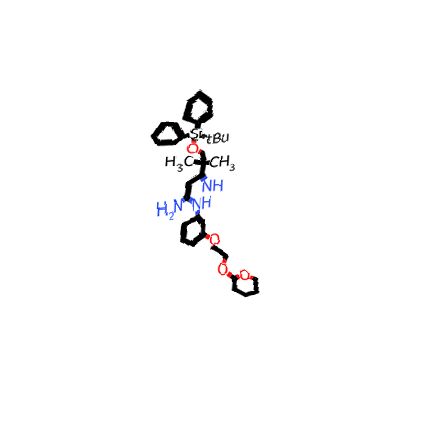 CC(C)(CO[Si](c1ccccc1)(c1ccccc1)C(C)(C)C)C(=N)/C=C(/N)Nc1cccc(OCCOC2CCCCO2)c1